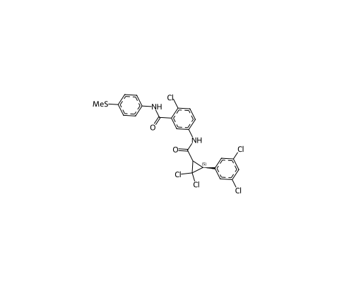 CSc1ccc(NC(=O)c2cc(NC(=O)C3[C@@H](c4cc(Cl)cc(Cl)c4)C3(Cl)Cl)ccc2Cl)cc1